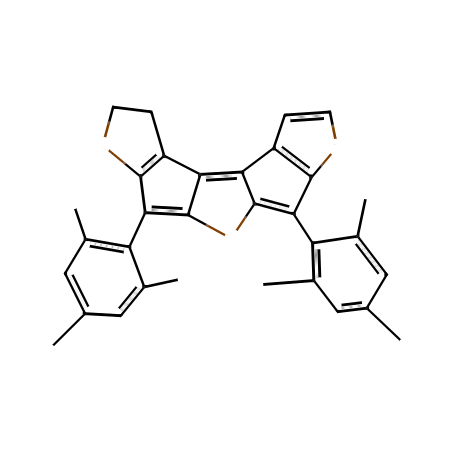 Cc1cc(C)c(C2=c3sc4c(c3C3=C2SCC3)-c2ccsc2C=4c2c(C)cc(C)cc2C)c(C)c1